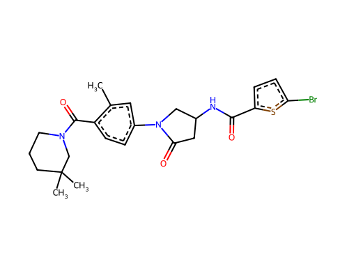 Cc1cc(N2CC(NC(=O)c3ccc(Br)s3)CC2=O)ccc1C(=O)N1CCCC(C)(C)C1